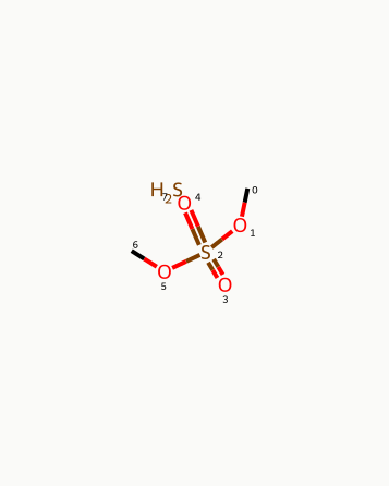 COS(=O)(=O)OC.S